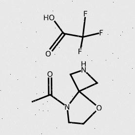 CC(=O)N1CCOC12CNC2.O=C(O)C(F)(F)F